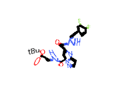 CC(C)(C)OC(=O)CNC(=O)c1cc(C(=O)NCc2ccc(F)c(F)c2)nc2ccnn12